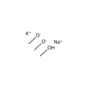 CO.C[O-].C[O-].[K+].[Na+]